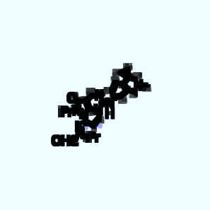 C/C=C\C(=N/N(C=O)C(C)C)n1c2nc(Nc3ccc4c(c3)CN(C)CC43CC3)ncc2c(=O)n1C(C)C